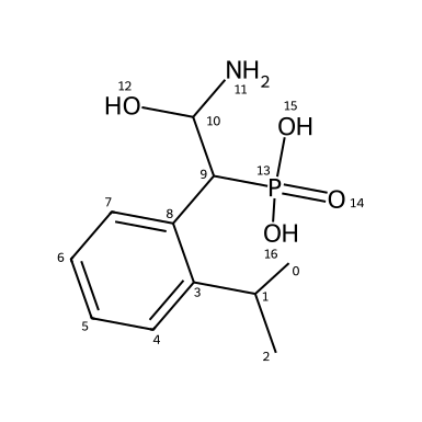 CC(C)c1ccccc1C(C(N)O)P(=O)(O)O